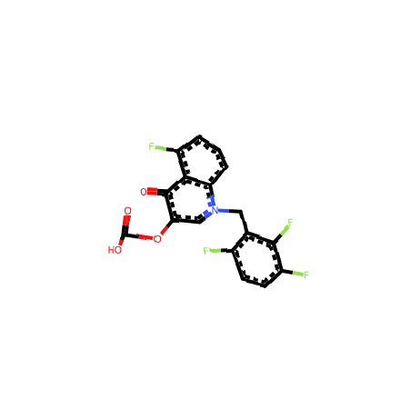 O=C(O)Oc1cn(Cc2c(F)ccc(F)c2F)c2cccc(F)c2c1=O